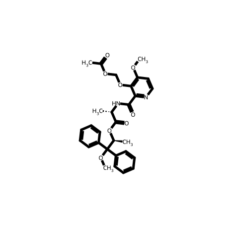 COc1ccnc(C(=O)N[C@@H](C)C(=O)O[C@@H](C)C(OC)(c2ccccc2)c2ccccc2)c1OCOC(C)=O